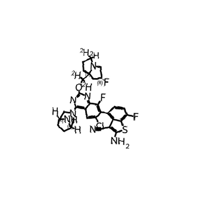 [2H]C1([2H])CC[C@@]2(C([2H])([2H])Oc3nc(N4C[C@H]5CC[C@@H](C4)N5)c4cc(Cl)c(-c5ccc(F)c6sc(N)c(C#N)c56)c(F)c4n3)C[C@@H](F)CN12